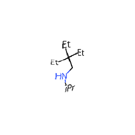 CCC(CC)(CC)CNC(C)C